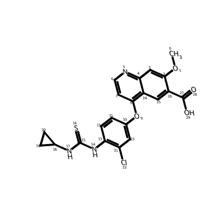 COc1cc2nccc(Oc3ccc(NC(=S)NC4CC4)c(Cl)c3)c2cc1C(=O)O